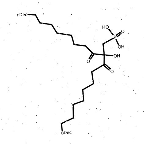 CCCCCCCCCCCCCCCCCC(=O)C(O)(CP(=O)(O)O)C(=O)CCCCCCCCCCCCCCCCC